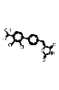 O=C1NC(=O)C(=Cc2ccc(-c3ccc(C(=O)O)c(Cl)c3Cl)cc2)S1